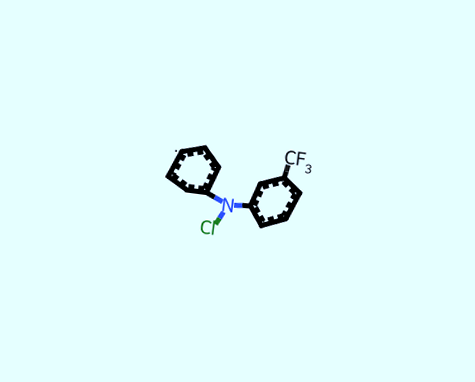 FC(F)(F)c1cccc(N(Cl)c2cc[c]cc2)c1